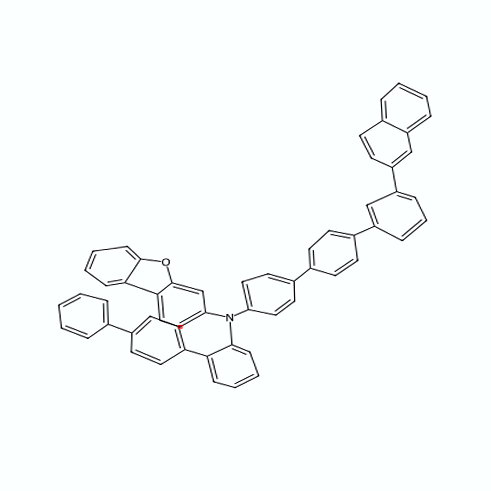 c1ccc(-c2ccc(-c3ccccc3N(c3ccc(-c4ccc(-c5cccc(-c6ccc7ccccc7c6)c5)cc4)cc3)c3ccc4c(c3)oc3ccccc34)cc2)cc1